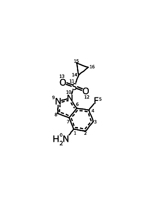 Nc1ccc(F)c2c1cnn2S(=O)(=O)C1CC1